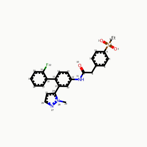 CCS(=O)(=O)c1ccc(CC(=O)Nc2ccc(-c3ccccc3F)c(-c3ccnn3C)c2)cc1